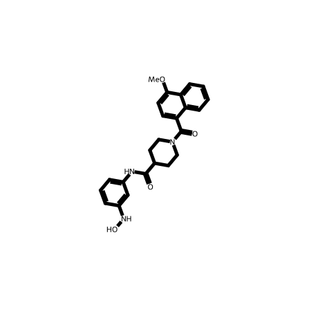 COc1ccc(C(=O)N2CCC(C(=O)Nc3cccc(NO)c3)CC2)c2ccccc12